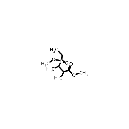 CCP(=O)(OC)C(C)C(C)C(=O)OC